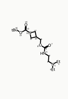 CCN(CC)CCNC(=O)OCC1CN(C(=O)OC(C)(C)C)C1